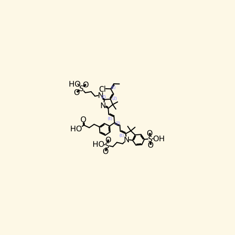 C\C=C(Cl)/C=C1\C(=N\CCCS(=O)(=O)O)N=C(/C=C/C(=C/C=C2/N(CCCS(=O)(=O)O)c3ccc(S(=O)(=O)O)cc3C2(C)C)c2cccc(CCC(=O)O)c2)C1(C)C